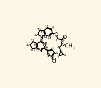 CN(CC1CC1)C(=O)COc1ccc2c(c1)N(c1nc(-c3ccc(Cl)s3)nc3c1CCC3)CC2